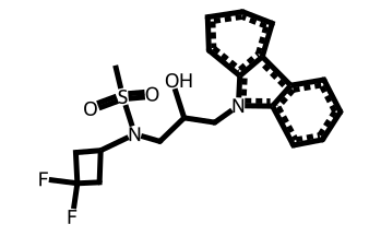 CS(=O)(=O)N(CC(O)Cn1c2ccccc2c2ccccc21)C1CC(F)(F)C1